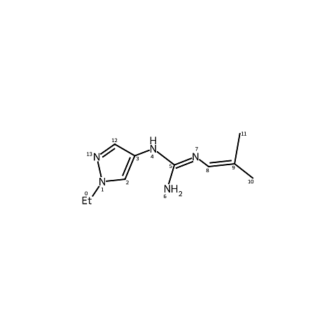 CCn1cc(N/C(N)=N/C=C(C)C)cn1